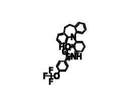 [O-][S@@+](N[C@H]1CCC=C(N2c3ccccc3CCc3ccccc32)[C@@H]1O)c1ccc(OC(F)(F)F)cc1